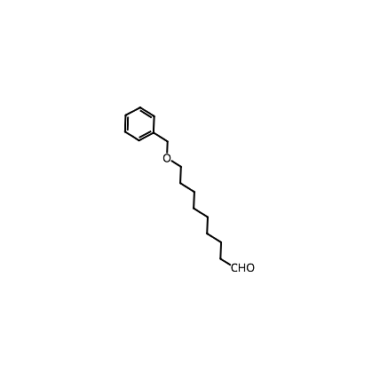 O=CCCCCCCCCOCc1ccccc1